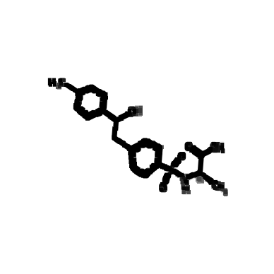 Cc1ccc(C(O)Cc2ccc(S(=O)(=O)N[C@H](C)C(=O)O)cc2)cc1